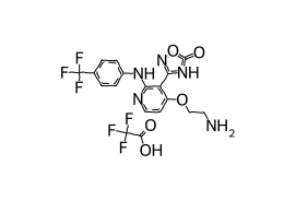 NCCOc1ccnc(Nc2ccc(C(F)(F)F)cc2)c1-c1noc(=O)[nH]1.O=C(O)C(F)(F)F